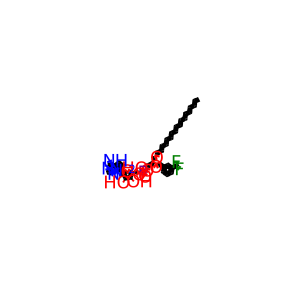 CCCCCCCCCCCCCCCCCCOC[C@H](COP(=O)(O)OC[C@H]1O[C@@](C)(c2ccc3c(N)ncnn23)[C@H](O)[C@@H]1O)OCc1cccc(C(F)F)c1